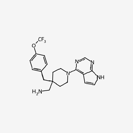 NCC1(Cc2ccc(OC(F)(F)F)cc2)CCN(c2ncnc3[nH]ccc23)CC1